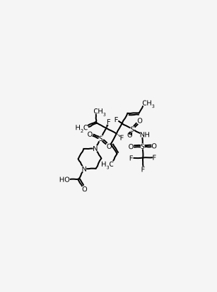 C=C(C)[C@](F)([C@](F)(/C=C/C)C(F)(/C=C/C)S(=O)(=O)NS(=O)(=O)C(F)(F)F)S(=O)(=O)N1CCN(C(=O)O)CC1